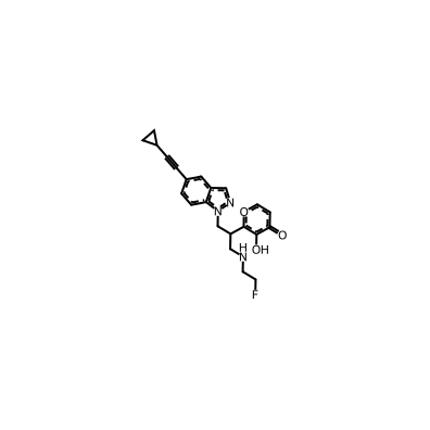 O=c1ccoc(C(CNCCF)Cn2ncc3cc(C#CC4CC4)ccc32)c1O